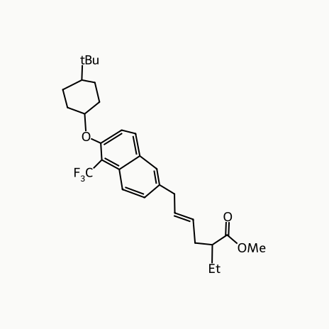 CCC(C/C=C/Cc1ccc2c(C(F)(F)F)c(OC3CCC(C(C)(C)C)CC3)ccc2c1)C(=O)OC